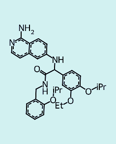 CCOc1cc(C(Nc2ccc3c(N)nccc3c2)C(=O)NCc2ccccc2OC(C)C)ccc1OC(C)C